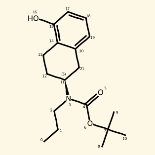 CCCN(C(=O)OC(C)(C)C)[C@H]1CCc2c(O)cccc2C1